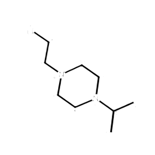 CC(C)N1CCN(CCCl)CC1